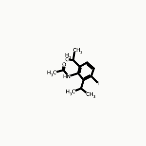 CC(=O)Nc1c(C(C)C)ccc(I)c1C(C)C